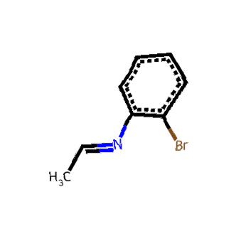 C/C=N/c1ccccc1Br